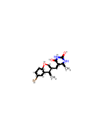 C=C1C(/C=c2/c(=C)[nH]c(=O)[nH]c2=O)=COc2ccc(Br)cc21